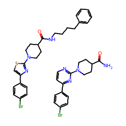 NC(=O)C1CCN(c2nccc(-c3ccc(Br)cc3)n2)CC1.O=C(NCCCCc1ccccc1)C1CCN(c2nc(-c3ccc(Br)cc3)cs2)CC1